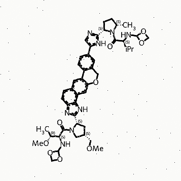 COC[C@H]1C[C@@H](c2nc3ccc4cc5c(cc4c3[nH]2)OCc2cc(-c3cnc([C@@H]4CC[C@H](C)N4C(=O)[C@@H](NC4OCO4)C(C)C)[nH]3)ccc2-5)N(C(=O)[C@@H](NC2OCO2)[C@@H](C)OC)C1